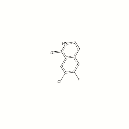 O=c1[nH]ccc2cc(F)c(Cl)cc12